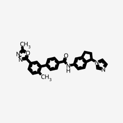 Cc1nnc(-c2ccc(C)c(-c3ccc(C(=O)Nc4ccc5c(c4)CCC5n4ccnc4)cc3)c2)o1